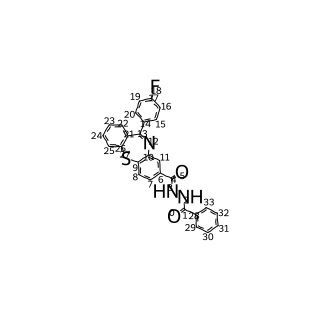 O=C(NNC(=O)c1ccc2c(c1)N=C(c1ccc(F)cc1)c1ccccc1S2)c1ccccc1